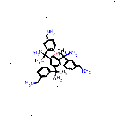 CC(N)(c1cccc(CN)c1)c1cc(C(C)(N)c2cccc(CN)c2)c(O)c(C(C)(N)c2cccc(CN)c2)c1